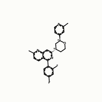 Cc1cc([C@@H]2C[C@@H](c3cc4nc(C)ccc4c(-c4ccc(F)cc4F)n3)CCO2)ccn1